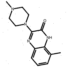 Cc1cccc2nc(N3CCN(C)CC3)c(=O)[nH]c12